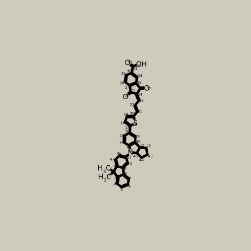 CC1(C)c2ccccc2-c2cc(N3c4ccc(-c5ccc(/C=C/C=C6\C(=O)c7ccc(C(=O)O)cc7C6=O)s5)cc4C4CCCC43)ccc21